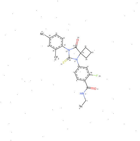 [2H]CNC(=O)c1ccc(N2C(=S)N(c3ccc(C#N)cc3C(F)(F)F)C(=O)C23CCC3)cc1F